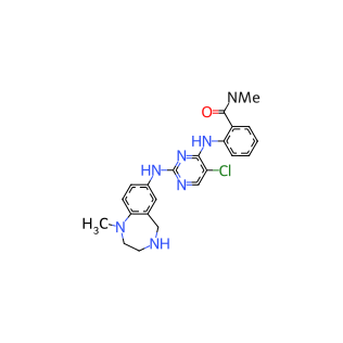 CNC(=O)c1ccccc1Nc1nc(Nc2ccc3c(c2)CNCCN3C)ncc1Cl